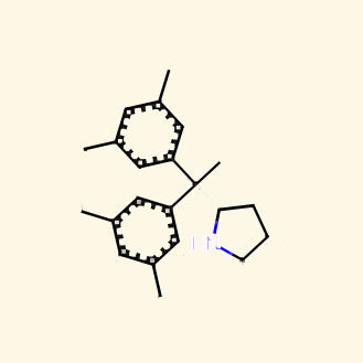 Cc1cc(C)cc(C(C)(c2cc(C)cc(C)c2)[C@@H]2CCCN2)c1